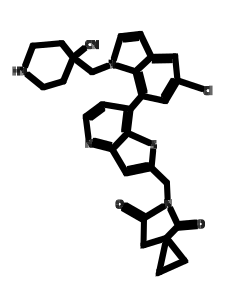 N#CC1(Cn2ccc3cc(Cl)cc(-c4ccnc5cc(CN6C(=O)CC7(CC7)C6=O)sc45)c32)CCNCC1